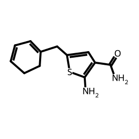 NC(=O)c1cc(CC2=CC=CCC2)sc1N